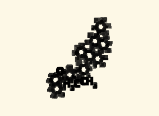 CC1(C)c2ccc(-c3c4ccccc4c(-c4ccc(-c5ccccc5)c5ccccc45)c4ccccc34)cc2-c2cc3oc4ccc5ccccc5c4c3cc21